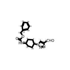 O=Cc1cn(C2CCC(NC(=O)OCc3ccccc3)CC2)nn1